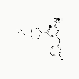 Cl.NC[C]1CCN(c2nc(Oc3cccc(F)c3)cc(C(F)(F)F)n2)CC1